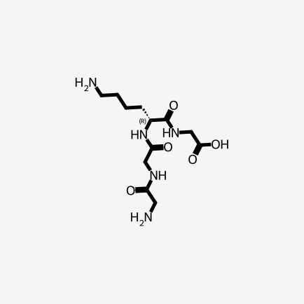 NCCCC[C@@H](NC(=O)CNC(=O)CN)C(=O)NCC(=O)O